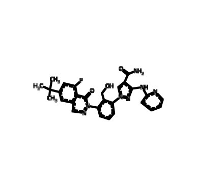 CC(C)(C)c1cc(F)c2c(=O)n(-c3cccc(-n4cc(C(N)=O)c(Nc5ccccn5)n4)c3CO)ncc2c1